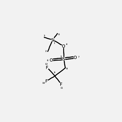 C[Si](C)(C)OS(=O)(=O)CC(F)(F)F